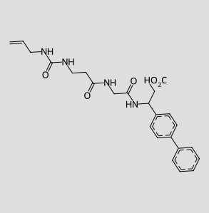 C=CCNC(=O)NCCC(=O)NCC(=O)NC(CC(=O)O)c1ccc(-c2ccccc2)cc1